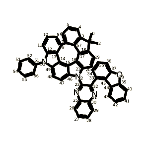 CC1(C)c2cccc3c4cccc5c4c4c6c7c(c1ccc7n(-c1nc7ccccc7nc1-c1cccc7oc8ccccc8c17)c6ccc4n5-c1ccccc1)c23